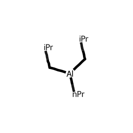 CC[CH2][Al]([CH2]C(C)C)[CH2]C(C)C